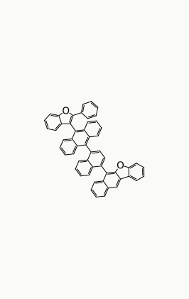 c1ccc(-c2oc3ccccc3c2-c2c3ccccc3c(-c3ccc(-c4c5ccccc5cc5c4oc4ccccc45)c4ccccc34)c3ccccc23)cc1